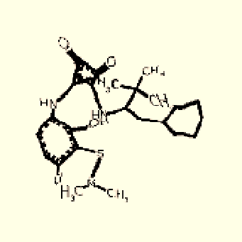 CN(C)Sc1c(Cl)ccc(Nc2c(NC(CC3CCCCC3)C(C)(C)C)c(=O)c2=O)c1O